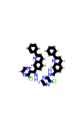 Clc1nccnc1NCc1ccc2ccc(-c3ccccc3)nc2c1.NC(c1ccc2ccc(-c3ccccc3)nc2c1)c1nccnc1Cl